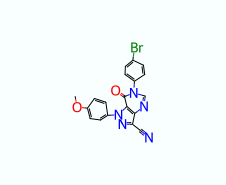 COc1ccc(-n2nc(C#N)c3ncn(-c4ccc(Br)cc4)c(=O)c32)cc1